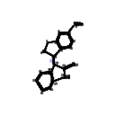 CNc1ccc2c(c1)CO/C2=C1/C(=O)Nc2ccccc21